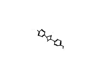 COc1ccc(C2C(O)C(c3ccc(CO)cc3)C2O)cc1